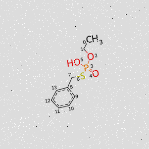 CCOP(=O)(O)SCc1ccccc1